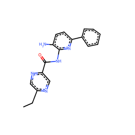 CCc1cnc(C(=O)Nc2nc(-c3ccccc3)ccc2N)cn1